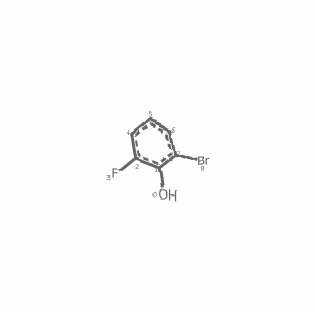 Oc1c(F)c[c]cc1Br